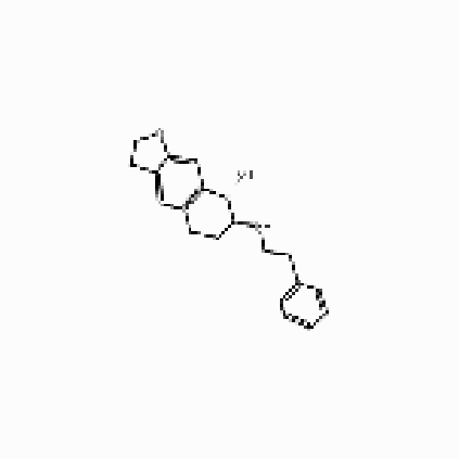 O[C@H]1c2cc3c(cc2CC[C@@H]1NCCc1ccccc1)CCO3